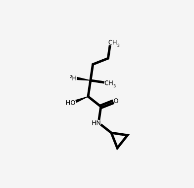 [2H][C@](C)(CCC)[C@H](O)C(=O)NC1CC1